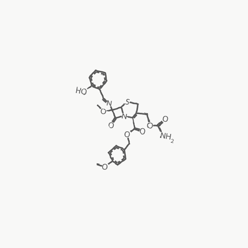 COc1ccc(COC(=O)C2=C(COC(N)=O)CSC3N2C(=O)C3(N=Cc2ccccc2O)OC)cc1